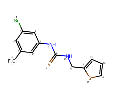 FC(F)(F)c1cc(Br)cc(NC(=S)NCc2cccs2)c1